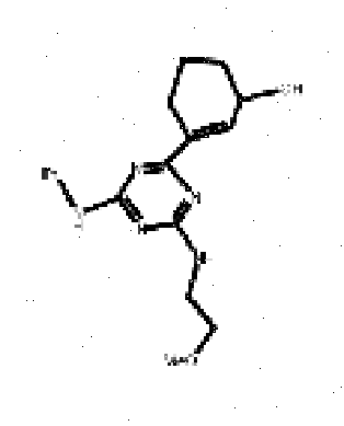 COCCNc1nc(NC(C)C)nc(C2=CC(O)CCC2)n1